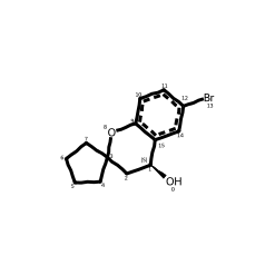 O[C@H]1CC2(CCCC2)Oc2ccc(Br)cc21